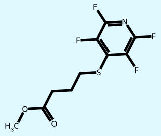 COC(=O)CCCSc1c(F)c(F)nc(F)c1F